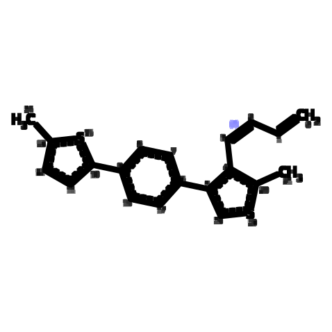 C=C/C=C\c1c(-c2ccc(-c3ccc(C)s3)cc2)csc1C